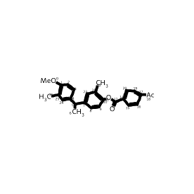 COc1ccc(C(C)c2ccc(OC(=O)c3ccc(C(C)=O)cc3)c(C)c2)cc1C